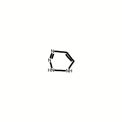 [C]1=CNNN=N1